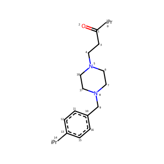 CC(C)C(=O)CCN1CCN(Cc2ccc(C(C)C)cc2)CC1